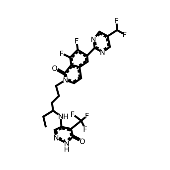 CCC(CCCn1ccc2cc(-c3ncc(C(F)F)cn3)c(F)c(F)c2c1=O)Nc1cn[nH]c(=O)c1C(F)(F)F